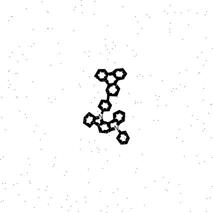 c1ccc(-n2c3ccccc3c3c2ccc2c4ccccc4n(-c4ccc(-c5ccc6c7ccccc7c7ccccc7c6c5)cc4)c23)cc1